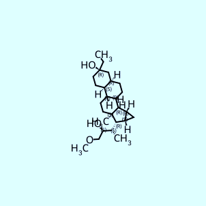 CC[C@@]1(O)CC[C@H]2[C@H](CC[C@@H]3[C@@H]2CC[C@@]2(C)[C@H]3[C@@H]3C[C@@H]3[C@@H]2[C@H](C)[C@H](O)COC)C1